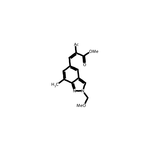 COCn1cc2cc(C=C(C(C)=O)C(=O)OC)cc(C)c2n1